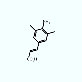 Cc1cc(C=CC(=O)O)cc(C)c1N